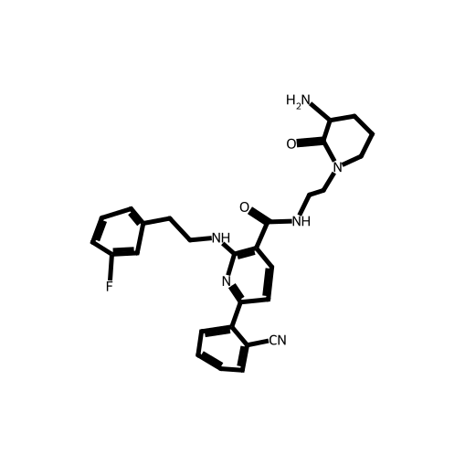 N#Cc1ccccc1-c1ccc(C(=O)NCCN2CCCC(N)C2=O)c(NCCc2cccc(F)c2)n1